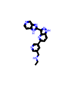 CCNCc1cncc(-c2ccc3[nH]nc(-c4nc5cnccc5[nH]4)c3n2)c1